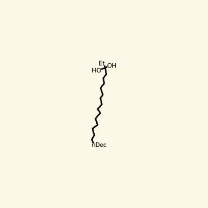 CCCCCCCCCCCCCCCCCCCCCCCCC(O)(O)CC